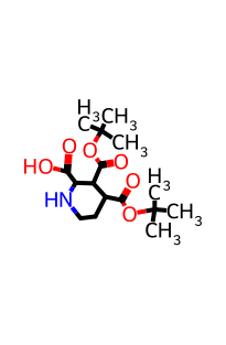 CC(C)(C)OC(=O)C1CCNC(C(=O)O)C1C(=O)OC(C)(C)C